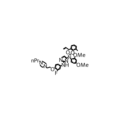 C=CCc1cccc(C)c1OC(=O)N(c1ccnc(Nc2ccc(OCCN3CCN(CCC)CC3)c(F)c2)n1)c1ccc(OC)cc1OC